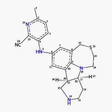 Cc1ccc(Nc2cc3c4c(c2)[C@@H]2CNCC[C@@H]2N4CCSC3)c(C#N)n1